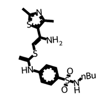 C=C(Nc1ccc(S(=O)(=O)NCCCC)cc1)S/C=C(\N)c1sc(C)nc1C